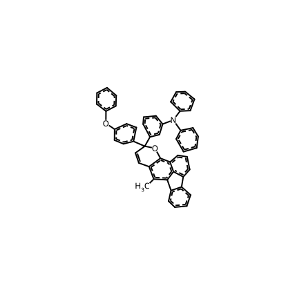 Cc1c2c(c3cccc4c3c1-c1ccccc1-4)OC(c1ccc(Oc3ccccc3)cc1)(c1cccc(N(c3ccccc3)c3ccccc3)c1)C=C2